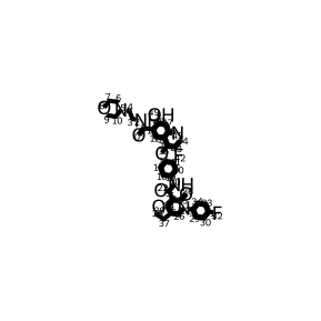 O=C(NCCN1CCOCC1)c1cc2c(Oc3ccc(NC(=O)c4c5c(cn(-c6ccc(F)cc6)c4=O)CCO5)cc3F)ccnc2cc1O